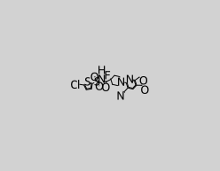 N#Cc1cc2c(nc1N1CCC(F)(C(=O)NS(=O)(=O)c3ccc(Cl)s3)CC1)COC2=O